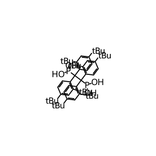 CC(C)(C)c1ccc(C(c2ccc(C(C)(C)C)cc2C(C)(C)C)(P(O)O)C(c2ccc(C(C)(C)C)cc2C(C)(C)C)(c2ccc(C(C)(C)C)cc2C(C)(C)C)P(O)O)c(C(C)(C)C)c1